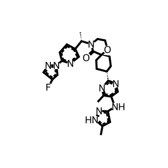 Cc1cc(Nc2cnc([C@H]3CC[C@]4(CC3)OCCN([C@@H](C)c3ccc(-n5cc(F)cn5)nc3)C4=O)nc2C)n[nH]1